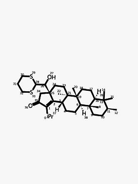 CC(C)C1=C2[C@H]3CC[C@@H]4[C@@]5(C)CC[C@H](C)C(C)(C)[C@@H]5CC[C@@]4(C)[C@]3(C)CC[C@@]2(C(O)C2SCCCS2)CC1=O